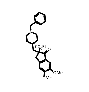 CCOC(=O)C1(CC2CCN(Cc3ccccc3)CC2)Cc2cc(OC)c(OC)cc2C1=O